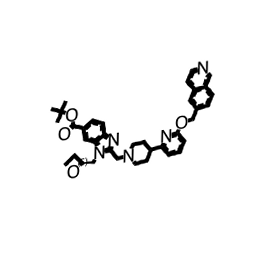 CC(C)(C)OC(=O)c1ccc2nc(CN3CCC(c4cccc(OCc5ccc6cnccc6c5)n4)CC3)n(C[C@@H]3CCO3)c2c1